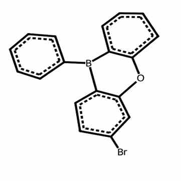 Brc1ccc2c(c1)Oc1ccccc1B2c1ccccc1